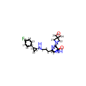 O=c1[nH]cc(CCCN[C@@H]2C[C@H]2c2ccc(F)cc2)nc1N1CC2(COC2)C1